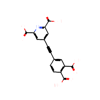 O=C(O)c1cc(C#Cc2ccc(C(=O)O)c(C(=O)O)c2)cc(C(=O)O)n1